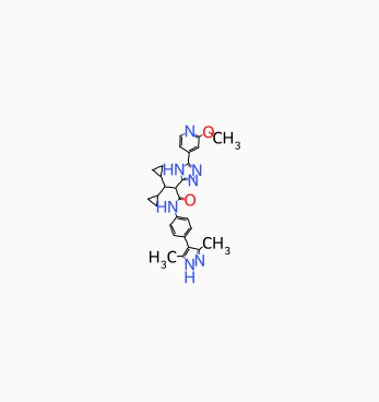 COc1cc(-c2nnc(C(C(=O)Nc3ccc(-c4c(C)n[nH]c4C)cc3)C(C3CC3)C3CC3)[nH]2)ccn1